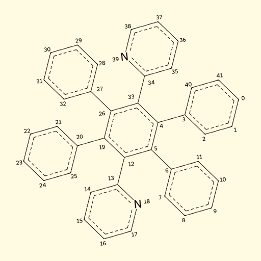 c1ccc(-c2c(-c3ccccc3)c(-c3ccccn3)c(-c3ccccc3)c(-c3ccccc3)c2-c2ccccn2)cc1